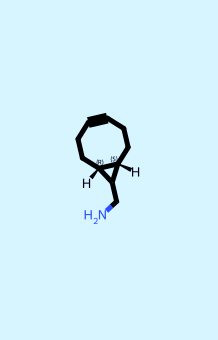 NCC1[C@H]2CCC#CCC[C@@H]12